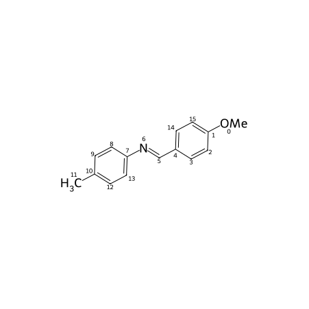 COc1ccc(/C=N/c2ccc(C)cc2)cc1